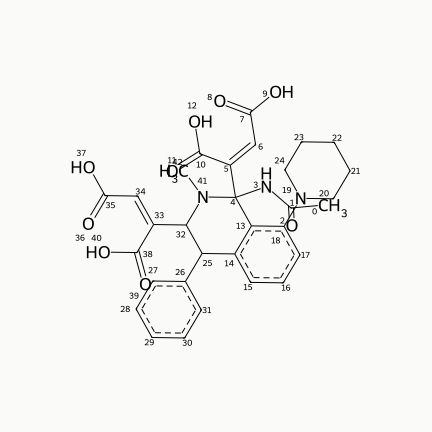 CC(=O)NC1(C(=CC(=O)O)C(=O)O)c2c(cccc2N2CCCCC2)C(c2ccccc2)C(C(=CC(=O)O)C(=O)O)N1C